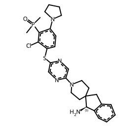 CP(C)(=O)c1c(N2CCCC2)ccc(Sc2cnc(N3CCC4(CC3)Cc3ccccc3[C@H]4N)cn2)c1Cl